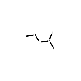 COOP(F)I